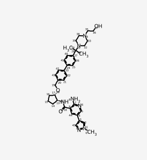 Cn1cc(-c2cnc(N)c(C(=O)N[C@H]3CCC[C@@H]3OCc3ccc(-c4ccc(C(C)(C)N5CCN(CCO)CC5)cc4)cc3)c2)cn1